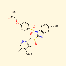 COC(=O)COc1ccc(S(=O)(=O)n2c([S+]([O-])Cc3ncc(C)c(OC)c3C)nc3cc(OC)ccc32)cc1